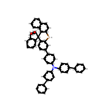 c1ccc(-c2ccc(N(c3ccc(-c4ccccc4)cc3)c3ccc(-c4ccc5c(c4)Sc4ccc6ccccc6c4C54c5ccccc5-c5ccccc54)cc3)cc2)cc1